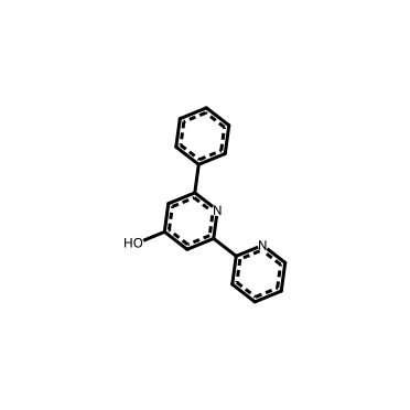 Oc1cc(-c2ccccc2)nc(-c2ccccn2)c1